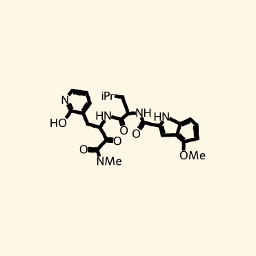 CNC(=O)C(=O)C(Cc1cccnc1O)NC(=O)C(CC(C)C)NC(=O)c1cc2c(OC)cccc2[nH]1